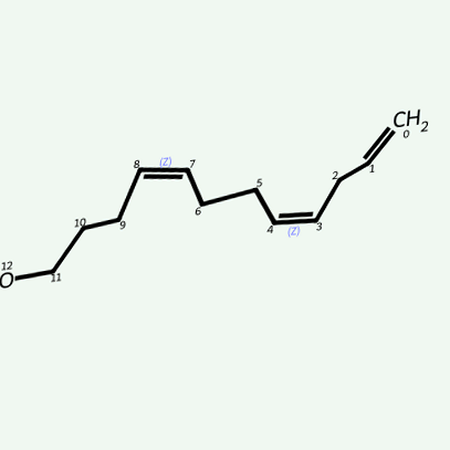 C=CC/C=C\CC/C=C\CCCO